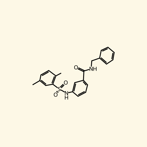 Cc1ccc(C)c(S(=O)(=O)Nc2cccc(C(=O)NCc3ccccc3)c2)c1